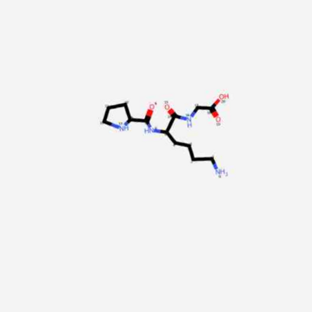 NCCCCC(NC(=O)C1CCCN1)C(=O)NCC(=O)O